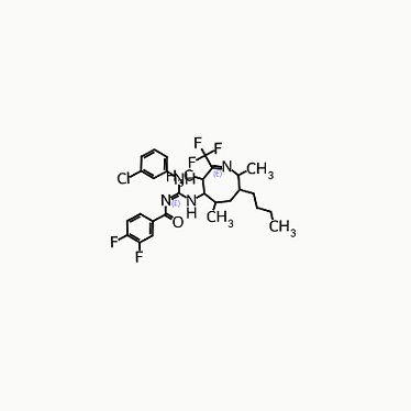 CCCCC1CC(C)C(N/C(=N\C(=O)c2ccc(F)c(F)c2)Nc2cccc(Cl)c2)C(C)/C(C(F)(F)F)=N\C1C